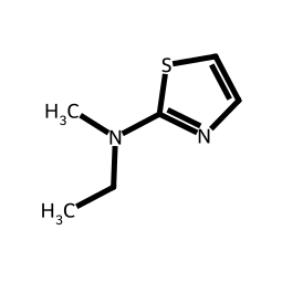 CCN(C)c1nccs1